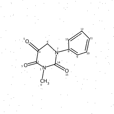 CN1C(=O)C(=O)CN(c2ccccc2)C1=O